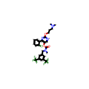 CN(C)CCCOc1ncc(OC(=O)N(C)Cc2cc(C(F)(F)F)cc(C(F)(F)F)c2)c(-c2ccccc2Cl)n1